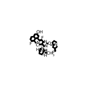 [2H]C([2H])(C)[C@@]12CC[C@@H](CN(c3nc(OC[C@@]45CCCN4C/C(=C/F)C5)nc4c(F)c(-c5cc(O)cc6ccc(F)c(C#C)c56)ncc34)C1)N2